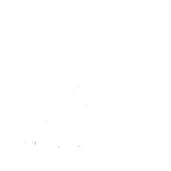 CCOc1cc(Cc2cnc(N)nc2N)cc(OCC)c1-c1ccc(N)cc1